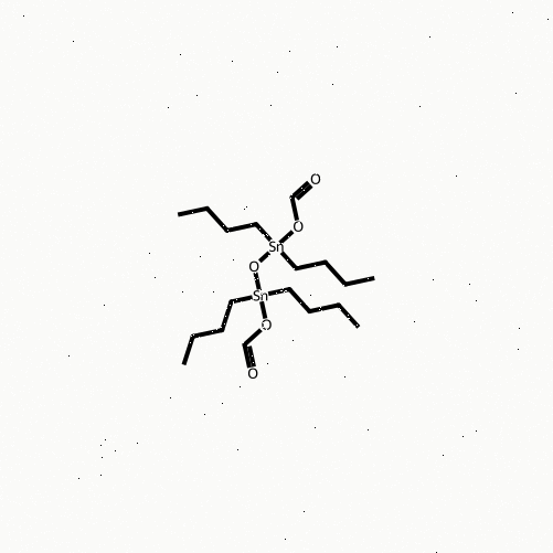 CCC[CH2][Sn]([CH2]CCC)([O]C=O)[O][Sn]([CH2]CCC)([CH2]CCC)[O]C=O